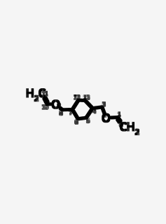 C=COCC1CCC(COC=C)CC1